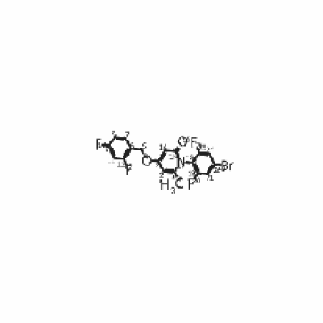 Cc1cc(OCc2ccc(F)cc2F)cc(=O)n1-c1c(F)cc(Br)cc1F